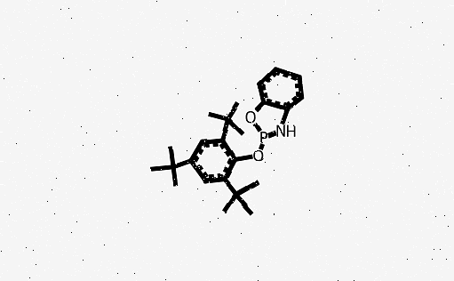 CC(C)(C)c1cc(C(C)(C)C)c(OP2Nc3ccccc3O2)c(C(C)(C)C)c1